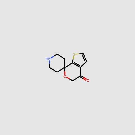 O=C1COC2(CCNCC2)c2sccc21